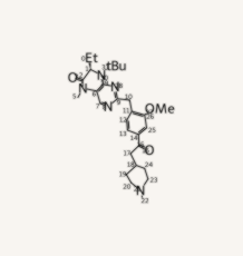 CC[C@@H]1C(=O)N(C)c2cnc(Cc3ccc(C(=O)CC4CCN(C)CC4)cc3OC)nc2N1C(C)(C)C